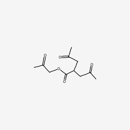 CC(=O)COC(=O)C(CC(C)=O)CC(C)=O